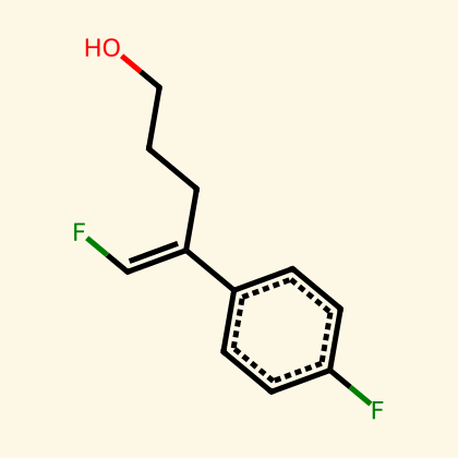 OCCCC(=CF)c1ccc(F)cc1